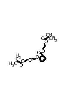 C=C(C)C(=O)OCCCOC(=O)c1ccccc1OCCOCCOC(=O)C(=C)C